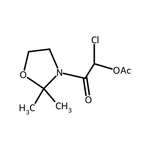 CC(=O)OC(Cl)C(=O)N1CCOC1(C)C